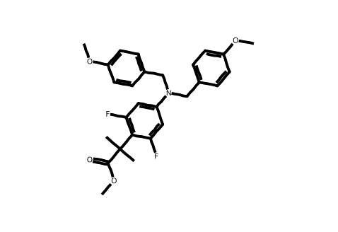 COC(=O)C(C)(C)c1c(F)cc(N(Cc2ccc(OC)cc2)Cc2ccc(OC)cc2)cc1F